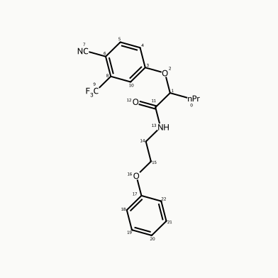 CCCC(Oc1ccc(C#N)c(C(F)(F)F)c1)C(=O)NCCOc1ccccc1